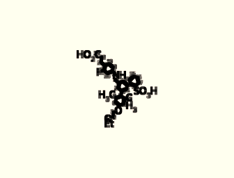 CCOCCOc1cc(C)c(-c2cccc(CNc3ccc(CCC(=O)O)c(F)c3)c2)c(C)c1.O=S(=O)(O)c1ccccc1